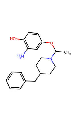 CC(Oc1ccc(O)c(N)c1)N1CCC(Cc2ccccc2)CC1